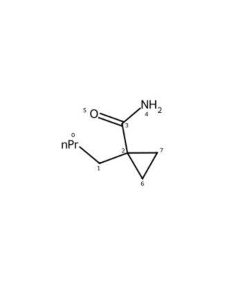 CCCCC1(C(N)=O)CC1